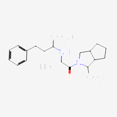 CCOC(=O)C(CCc1ccccc1)N[C@@H](C)C(=O)N1CC2CCCC2C1C(=O)O